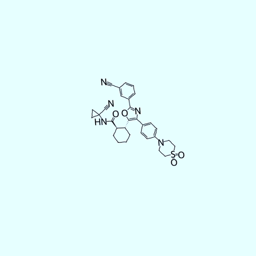 N#Cc1cccc(-c2nc(-c3ccc(N4CCS(=O)(=O)CC4)cc3)c([C@@H]3CCCC[C@H]3C(=O)NC3(C#N)CC3)o2)c1